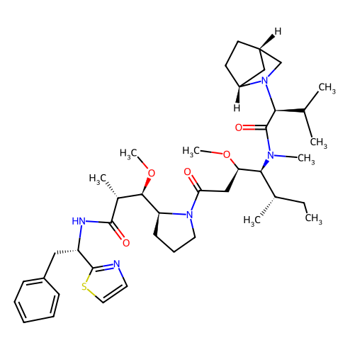 CC[C@H](C)[C@@H]([C@@H](CC(=O)N1CCC[C@H]1[C@H](OC)[C@@H](C)C(=O)N[C@@H](Cc1ccccc1)c1nccs1)OC)N(C)C(=O)[C@H](C(C)C)N1C[C@H]2CC[C@@H]1C2